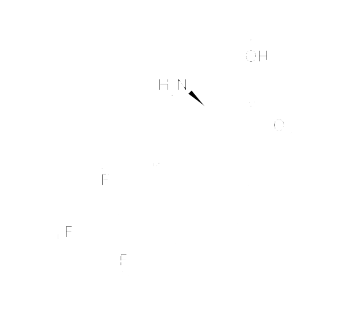 N[C@@H](C(=O)O)c1cccc(C(F)(F)F)c1